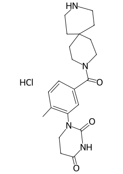 Cc1ccc(C(=O)N2CCC3(CCNCC3)CC2)cc1N1CCC(=O)NC1=O.Cl